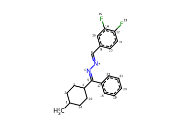 CC1CCC(C(=NN=Cc2ccc(F)c(F)c2)c2ccccc2)CC1